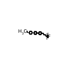 CCC[C@H]1CC[C@H](c2ccc(-c3ccc(CCCCC(F)(F)F)cc3)cc2)CC1